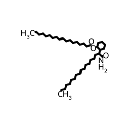 CCCCCCCCC=CCCCCCCCC(=O)OC1CCCCC1C(CCCCCCC=CCCCCCCCC)C(N)=O